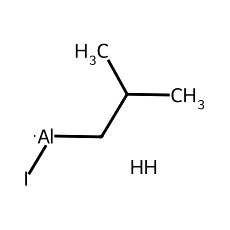 CC(C)[CH2][Al][I].[HH]